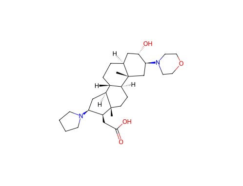 C[C@]12CC[C@H]3[C@@H](CC[C@H]4C[C@H](O)[C@@H](N5CCOCC5)C[C@@]43C)[C@@H]1C[C@H](N1CCCC1)[C@@H]2CC(=O)O